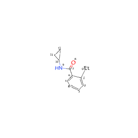 CCc1ccccc1C(=O)NC1CC1